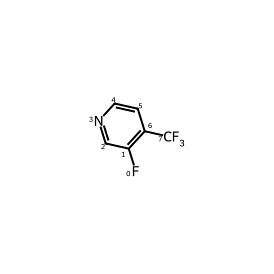 Fc1cnccc1C(F)(F)F